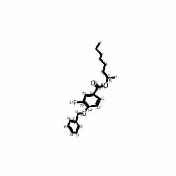 CCCCCC[C@@H](C)OC(=O)c1ccc(OCc2ccccc2)c(F)c1